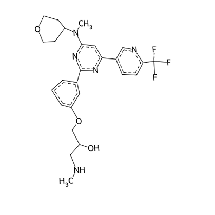 CNCC(O)COc1cccc(-c2nc(-c3ccc(C(F)(F)F)nc3)cc(N(C)C3CCOCC3)n2)c1